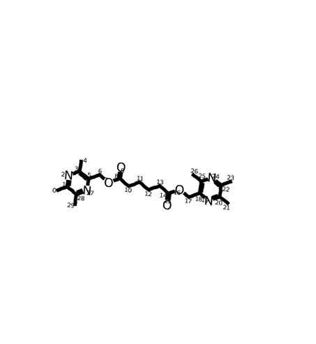 Cc1nc(C)c(COC(=O)CCCCC(=O)OCc2nc(C)c(C)nc2C)nc1C